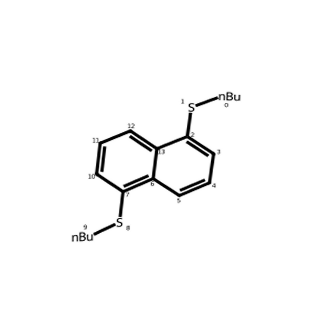 CCCCSc1cccc2c(SCCCC)cccc12